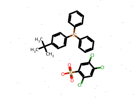 CC(C)(C)c1ccc([S+](c2ccccc2)c2ccccc2)cc1.O=S(=O)([O-])c1cc(Cl)c(Cl)cc1Cl